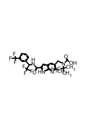 Cc1nc2[nH]c(C(=O)NC(c3cccc(C(F)(F)F)c3)C(F)(F)F)cc2cc1CN(C(=O)O)C(C)(C)C